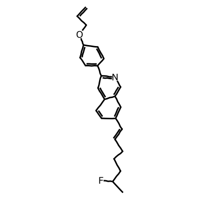 C=CCOc1ccc(-c2cc3ccc(C=CCCCC(C)F)cc3cn2)cc1